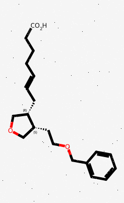 O=C(O)CCCC=CC[C@H]1COC[C@H]1CCOCc1ccccc1